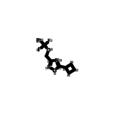 CCC(F)(F)OCc1noc(C2CCC2)n1